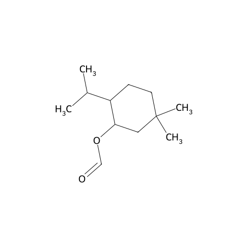 CC(C)C1CCC(C)(C)CC1OC=O